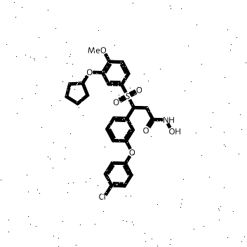 COc1ccc(S(=O)(=O)C(CC(=O)NO)c2cccc(Oc3ccc(Cl)cc3)c2)cc1OC1CCCC1